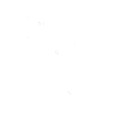 CNC(=O)[C@H]1CN(c2ccc3c(c2)OC(F)(F)C(=O)N3C)C(=O)O1